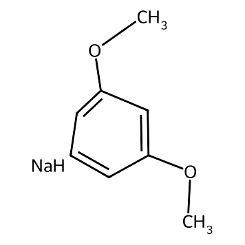 COc1cccc(OC)c1.[NaH]